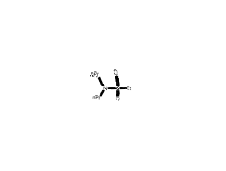 CCCN(CCC)S(=O)(=O)CC